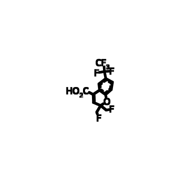 O=C(O)C1=CC(CF)(CF)Oc2ccc(C(F)(F)C(F)(F)F)cc21